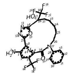 Nc1cc(C(F)(F)F)c2nc1-c1nnc(o1)[C@@](O)(C(F)(F)F)CCCCCN(c1ccccc1)C2=O